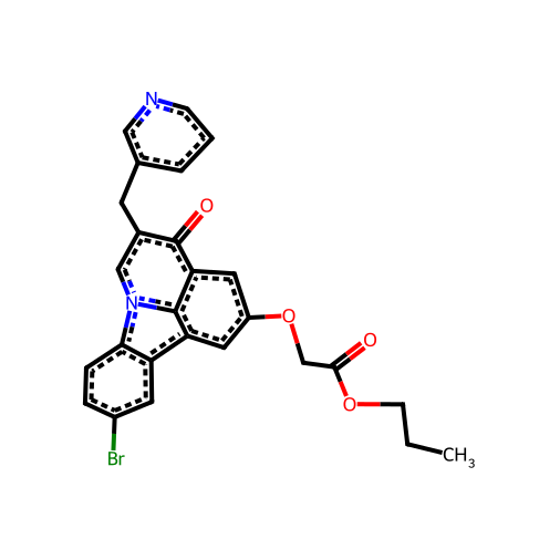 CCCOC(=O)COc1cc2c(=O)c(Cc3cccnc3)cn3c4ccc(Br)cc4c(c1)c23